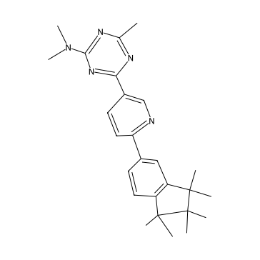 Cc1nc(-c2ccc(-c3ccc4c(c3)C(C)(C)C(C)(C)C4(C)C)nc2)nc(N(C)C)n1